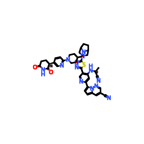 C[C@@H](C#N)Nc1cc(-c2ccc3cc(C#N)cnn23)ncc1-c1nnc(N2CC3CCC(C2)N3CC2CCN(c3ccc([C@@H]4CCC(=O)NC4=O)cn3)CC2)s1